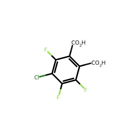 O=C(O)c1c(F)c(F)c(Cl)c(F)c1C(=O)O